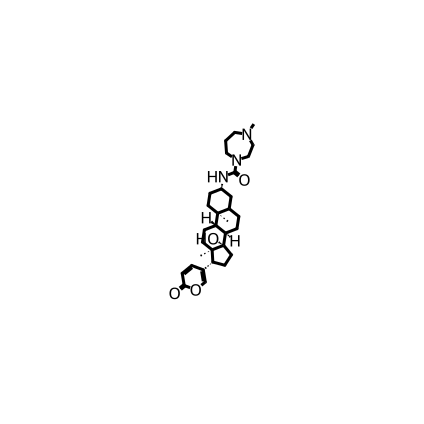 CN1CCCN(C(=O)N[C@H]2CC[C@@]3(C)C(CC[C@@H]4[C@@H]3CC[C@]3(C)[C@@H](c5ccc(=O)oc5)CC[C@]43O)C2)CC1